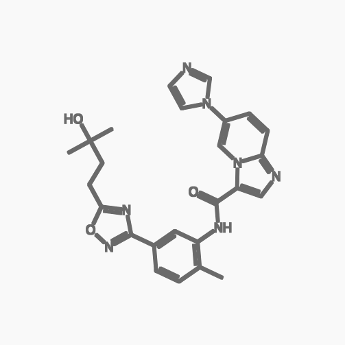 Cc1ccc(-c2noc(CCC(C)(C)O)n2)cc1NC(=O)c1cnc2ccc(-n3ccnc3)cn12